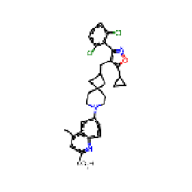 Cc1cc(C(=O)O)nc2ccc(N3CCC4(CC3)CC(Cc3c(-c5c(Cl)cccc5Cl)noc3C3CC3)C4)cc12